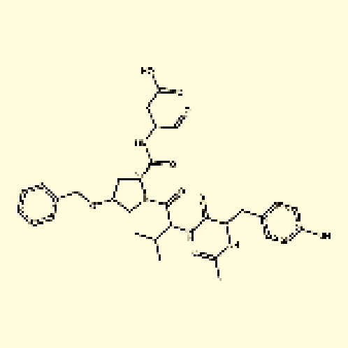 CC(=O)NC(Cc1ccc(O)cc1)C(=O)NC(C(=O)N1CC(OCc2ccccc2)C[C@H]1C(=O)NC(C=O)CC(=O)O)C(C)C